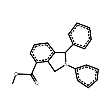 COC(=O)c1cccc2c1CN(c1ccccc1)C2c1ccccc1